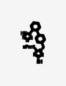 CCCCCc1nc(S)nn1Cc1ccc(-c2ccccc2-c2nnn[nH]2)cc1